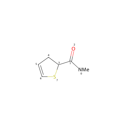 CNC(=O)C1CC=CS1